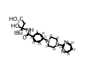 CC(C)(C)C(O)(CC(=O)O)NC(=O)c1ccc(N2CCN(c3ncccn3)CC2)cc1